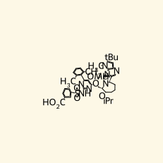 COc1c(OC[C@H]2N[C@@H](c3cnc4cc(C(C)(C)C)n(C)c4n3)CCC[C@@H]2OC(C)C)nc(NS(=O)(=O)c2cccc(C(=O)O)c2)nc1-c1c(C)cccc1C